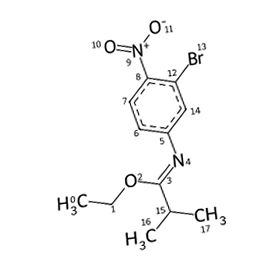 CCOC(=Nc1ccc([N+](=O)[O-])c(Br)c1)C(C)C